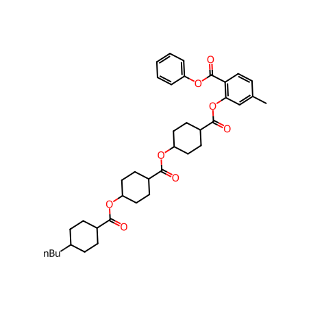 CCCCC1CCC(C(=O)OC2CCC(C(=O)OC3CCC(C(=O)Oc4cc(C)ccc4C(=O)Oc4ccccc4)CC3)CC2)CC1